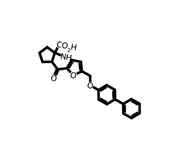 NC1(C(=O)O)CCCC1C(=O)c1ccc(COc2ccc(-c3ccccc3)cc2)o1